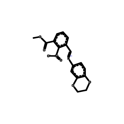 COC(=O)c1cccc(/C=N/c2ccc3c(c2)OCCO3)c1[N+](=O)[O-]